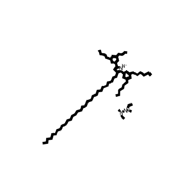 CCCCCCCCCCCCCCCCCCCCCCCCCCCCCCC1=C(c2cc(CCCCCC)cc(CCCCCC)c2)[N+](=[N-])C(c2cc(CCCC)cc(CCCC)c2)=C1.CC[N](C)[Ni][N](C)CC